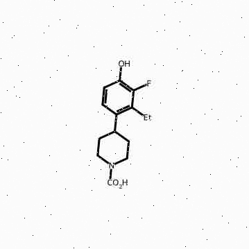 CCc1c(C2CCN(C(=O)O)CC2)ccc(O)c1F